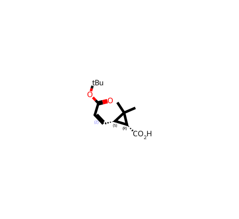 CC(C)(C)OC(=O)/C=C\[C@H]1[C@@H](C(=O)O)C1(C)C